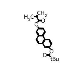 C=C(C)C(=O)Oc1ccc2c(ccc3cc(OC(=O)C(C)(C)C)ccc32)c1